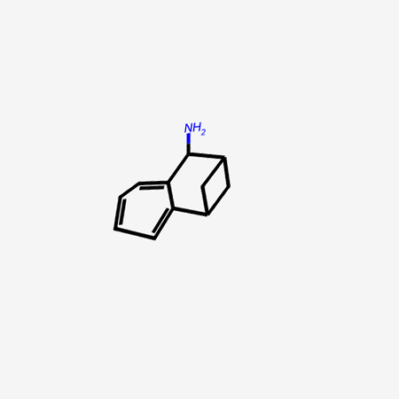 NC1c2ccccc2C2CC1C2